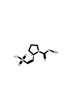 CC(C)(C)OC(=O)N1CCC[C@@H]1/C=C\S(N)(=O)=O